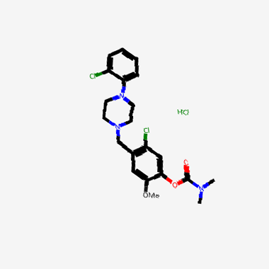 COc1cc(CN2CCN(c3ccccc3Cl)CC2)c(Cl)cc1OC(=O)N(C)C.Cl